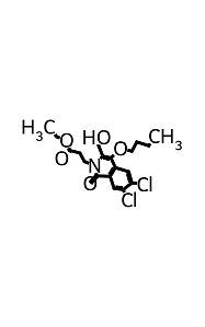 CCCCOc1c(CO)n(CCC(=O)OCC)c(=O)c2cc(Cl)c(Cl)cc12